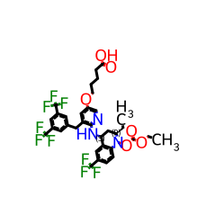 CCOC(=O)ON1c2ccc(C(F)(F)F)cc2[C@@H](Nc2ncc(OCCCCC(=O)O)cc2Cc2cc(C(F)(F)F)cc(C(F)(F)F)c2)C[C@H]1CC